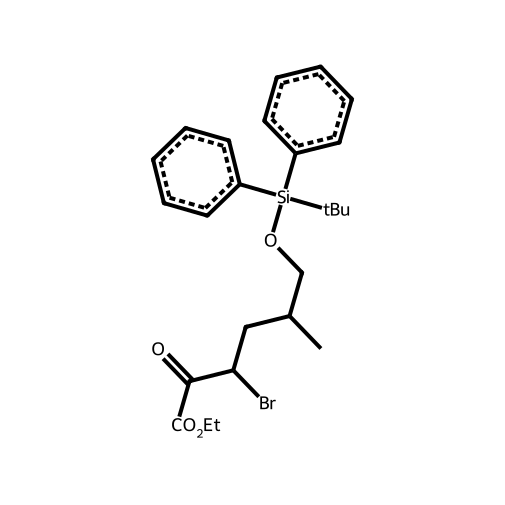 CCOC(=O)C(=O)C(Br)CC(C)CO[Si](c1ccccc1)(c1ccccc1)C(C)(C)C